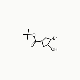 CC(C)(C)OC(=O)N1CC(O)C(Br)C1